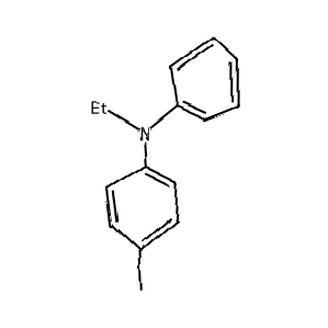 CCN(c1ccccc1)c1ccc(C)cc1